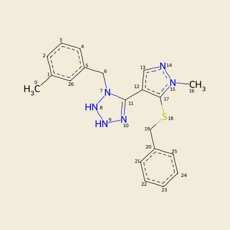 Cc1cccc(CN2NNN=C2c2cnn(C)c2SCc2ccccc2)c1